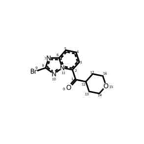 O=C(c1cccc2nc(Br)nn12)C1CCOCC1